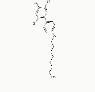 CCCCCCCCOc1ccc(-c2cc(Cl)c(Cl)cc2Cl)cc1